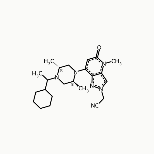 CC(C1CCCCC1)N1C[C@H](C)N(c2cc(=O)n(C)c3cn(CC#N)nc23)C[C@H]1C